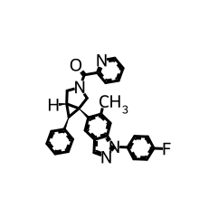 Cc1cc2c(cnn2-c2ccc(F)cc2)cc1[C@]12CN(C(=O)c3ccccn3)C[C@H]1[C@@H]2c1ccccc1